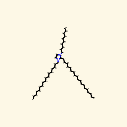 CCCCCCCCCCCCCCCCCCCC1N(CCCCCCCCCC)C=CN1CCCCCCCCCCCCCCCCC